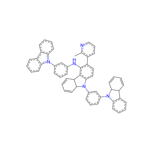 Cc1ncccc1-c1ccc2c(c1Nc1cccc(-n3c4ccccc4c4ccccc43)c1)C1C=CC=CC1N2c1cccc(N2c3ccccc3C3C=CC=CC32)c1